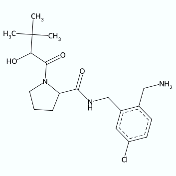 CC(C)(C)C(O)C(=O)N1CCCC1C(=O)NCc1cc(Cl)ccc1CN